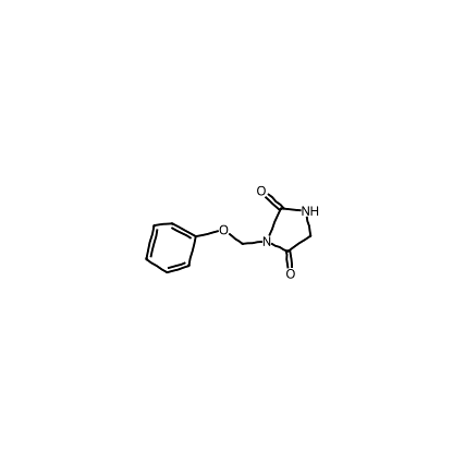 O=C1CNC(=O)N1COc1ccccc1